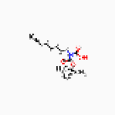 C#CCCCCCCN(C(=O)O)C(=O)OC(C)(C)C